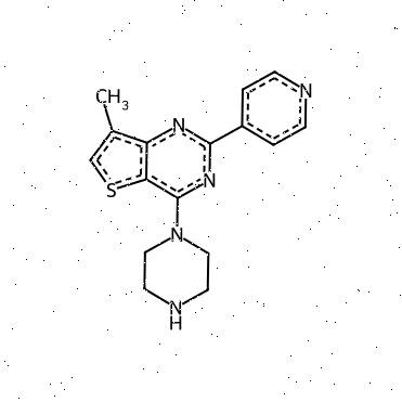 Cc1csc2c(N3CCNCC3)nc(-c3ccncc3)nc12